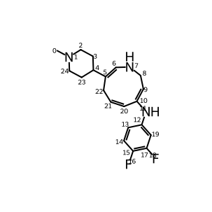 CN1CCC(/C2=C/NC/C=C(Nc3ccc(F)c(F)c3)\C=C/C2)CC1